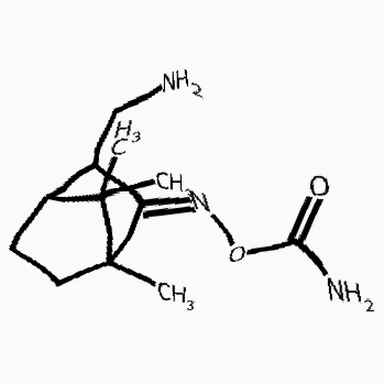 CC12CCC(C(CN)C1=NOC(N)=O)C2(C)C